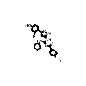 O=C(/N=C(\Nc1cc(-c2ccc(O)cc2F)n[nH]1)NC1CCCC1)c1ccc(C(F)(F)F)cc1